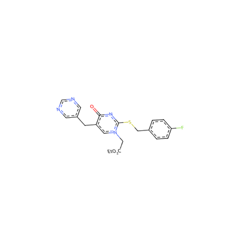 CCOC(=O)Cn1cc(Cc2cncnc2)c(=O)nc1SCc1ccc(F)cc1